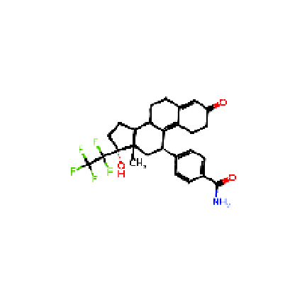 C[C@]12C[C@H](c3ccc(C(N)=O)cc3)C3=C4CCC(=O)C=C4CCC3C1CC[C@]2(O)C(F)(F)C(F)(F)F